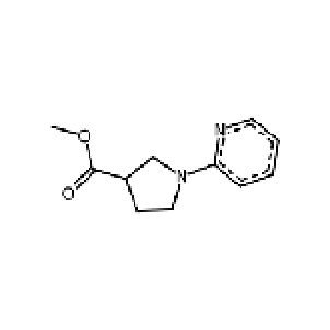 COC(=O)C1CCN(c2ccccn2)C1